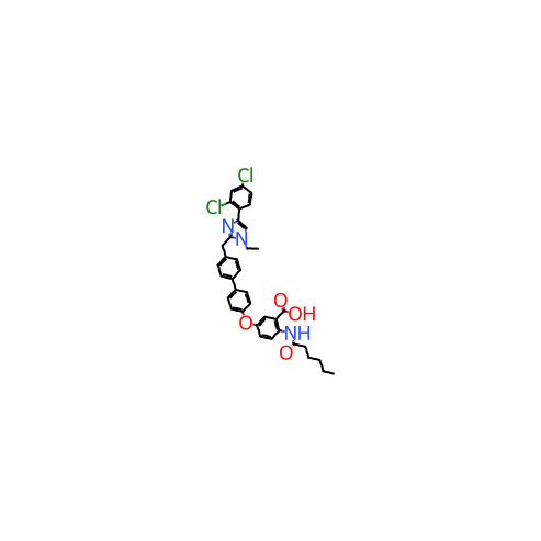 CCCCCC(=O)Nc1ccc(Oc2ccc(-c3ccc(Cc4nc(-c5ccc(Cl)cc5Cl)cn4CC)cc3)cc2)cc1C(=O)O